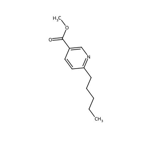 CCCCCc1ccc(C(=O)OC)cn1